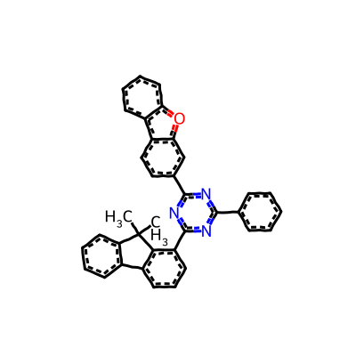 CC1(C)c2ccccc2-c2cccc(-c3nc(-c4ccccc4)nc(-c4ccc5c(c4)oc4ccccc45)n3)c21